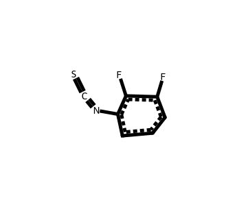 Fc1cccc(N=C=S)c1F